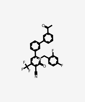 CC(=O)c1cccc(-c2cccc(-c3cc(C(F)(F)F)c(C#N)c(=O)n3Cc3ccc(F)cc3F)c2)c1